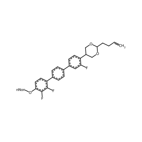 C=CCCC1OCC(c2ccc(-c3ccc(-c4ccc(OCCCCCCCCC)c(F)c4F)cc3)cc2F)CO1